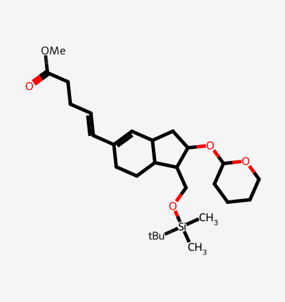 COC(=O)CCC=CC1=CC2CC(OC3CCCCO3)C(CO[Si](C)(C)C(C)(C)C)C2CC1